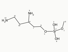 CO[Si](O)(O)OCCC(N)CCN